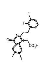 O=C(O)Cn1c(CCc2cccc(F)c2F)nc(=O)c2cc(I)c(I)cc21